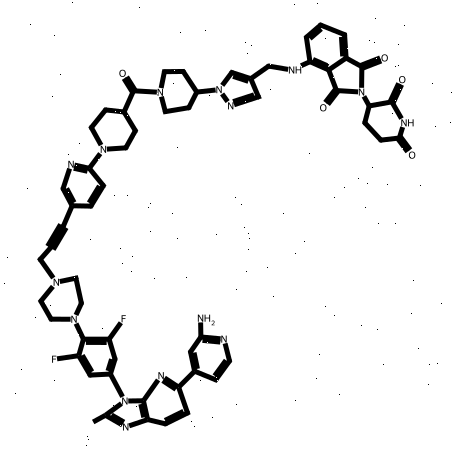 Cc1nc2ccc(-c3ccnc(N)c3)nc2n1-c1cc(F)c(N2CCN(CC#Cc3ccc(N4CCC(C(=O)N5CCC(n6cc(CNc7cccc8c7C(=O)N(C7CCC(=O)NC7=O)C8=O)cn6)CC5)CC4)nc3)CC2)c(F)c1